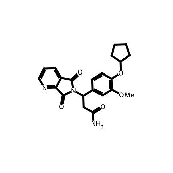 COc1cc(C(CC(N)=O)N2C(=O)c3cccnc3C2=O)ccc1OC1CCCC1